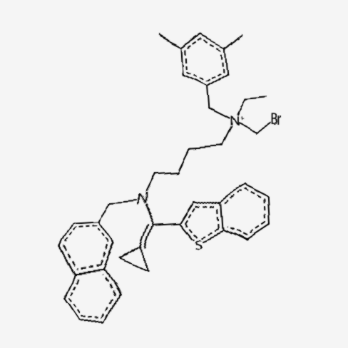 CC[N+](CBr)(CCCCN(Cc1ccc2ccccc2c1)C(=C1CC1)c1cc2ccccc2s1)Cc1cc(C)cc(C)c1